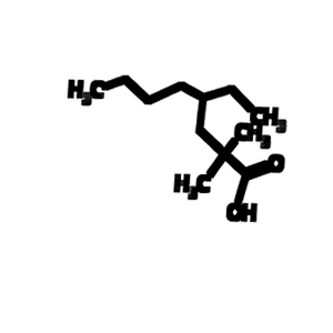 CCCCC(CC)CC(C)(C)C(=O)O